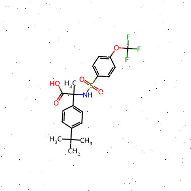 CC(C)(C)c1ccc(C(C)(NS(=O)(=O)c2ccc(OC(F)(F)F)cc2)C(=O)O)cc1